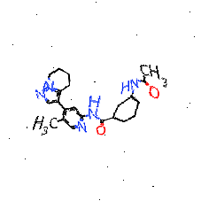 CC(=O)NC1CCCC(C(=O)Nc2cc(-c3cnn4c3CCCC4)c(C)cn2)C1